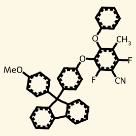 COc1ccc(C2(c3ccc(Oc4c(F)c(C#N)c(F)c(C)c4Oc4ccccc4)cc3)c3ccccc3-c3ccccc32)cc1